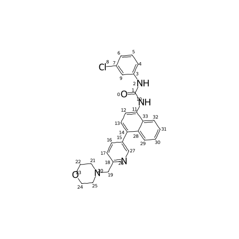 O=C(Nc1cccc(Cl)c1)Nc1ccc(-c2ccc(CN3CCOCC3)nc2)c2ccccc12